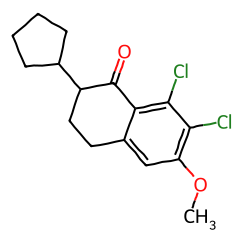 COc1cc2c(c(Cl)c1Cl)C(=O)C(C1CCCC1)CC2